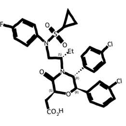 CC[C@@H](CN(c1ccc(F)cc1)S(=O)(=O)C1CC1)N1C(=O)[C@H](CC(=O)O)O[C@H](c2cccc(Cl)c2)[C@H]1c1ccc(Cl)cc1